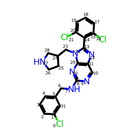 Clc1cccc(CNc2ncc3nc(-c4c(Cl)cccc4Cl)n(CC4CCNC4)c3n2)c1